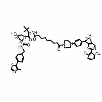 COc1cccc(F)c1-c1ncc2[nH]nc(-c3ccc(N4CCN(C(=O)CCCCCCCC(=O)N[C@H](C(=O)N5C[C@H](O)C[C@H]5C(=O)NCc5ccc(-c6scnc6C)cc5)C(C)(C)C)CC4)cc3)c2n1